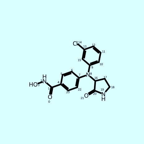 O=C(NO)c1ccc(N(c2cccc(Cl)c2)C2CCNC2=O)cc1